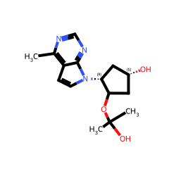 Cc1ncnc2c1ccn2[C@@H]1C[C@H](O)CC1OC(C)(C)O